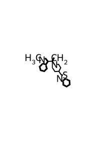 C=C(c1cn(C)c2ccccc12)N1CCC(c2nc3ccccc3s2)CC1